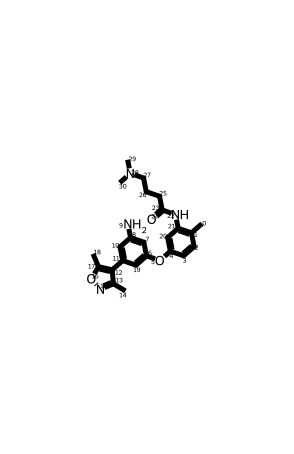 Cc1ccc(Oc2cc(N)cc(-c3c(C)noc3C)c2)cc1NC(=O)CCCN(C)C